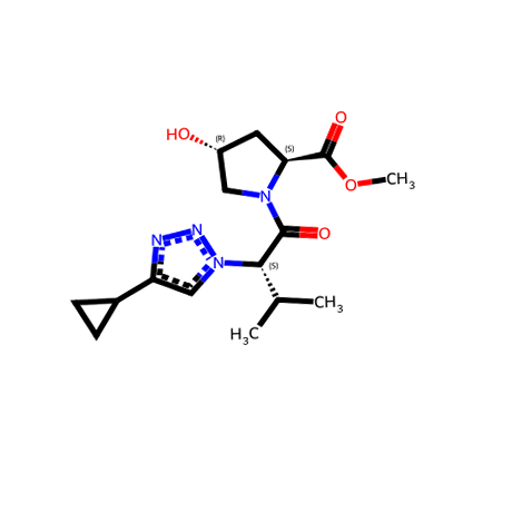 COC(=O)[C@@H]1C[C@@H](O)CN1C(=O)[C@H](C(C)C)n1cc(C2CC2)nn1